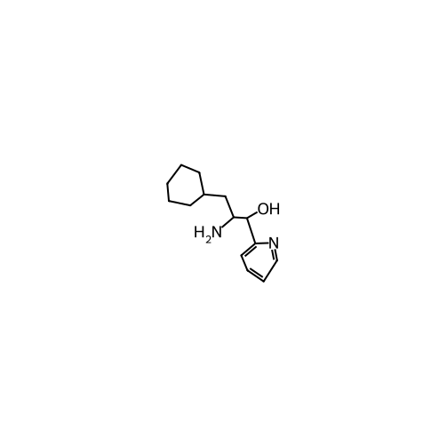 NC(CC1CCCCC1)C(O)c1ccccn1